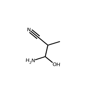 CC(C#N)C(N)O